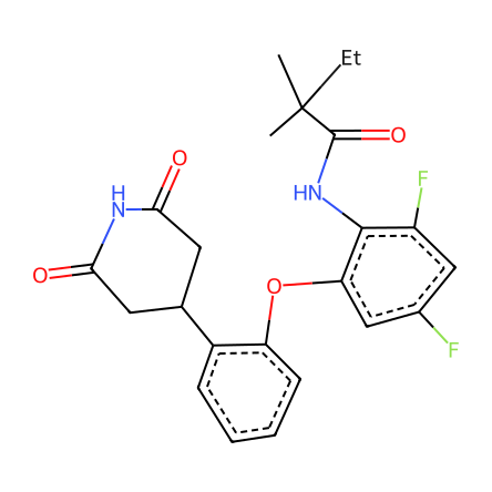 CCC(C)(C)C(=O)Nc1c(F)cc(F)cc1Oc1ccccc1C1CC(=O)NC(=O)C1